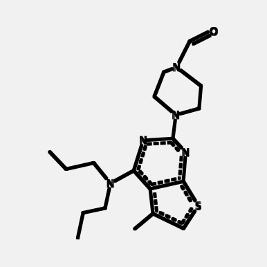 CCCN(CCC)c1nc(N2CCN(C=O)CC2)nc2scc(C)c12